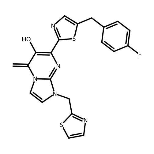 C=C1C(O)=C(c2ncc(Cc3ccc(F)cc3)s2)N=C2N(Cc3nccs3)C=CN12